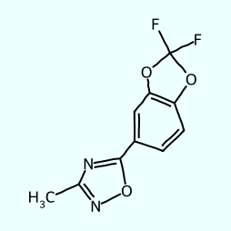 Cc1noc(-c2ccc3c(c2)OC(F)(F)O3)n1